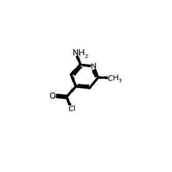 Cc1cc(C(=O)Cl)cc(N)n1